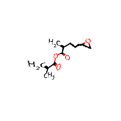 C=C(C)C(=O)OC(=O)C(=C)CCC1CO1